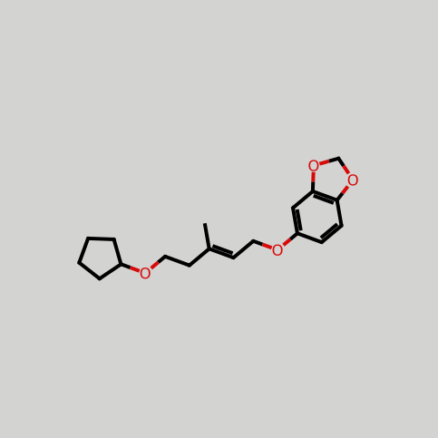 C/C(=C\COc1ccc2c(c1)OCO2)CCOC1CCCC1